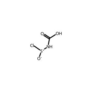 O=C(O)N[S+]([O-])Cl